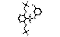 O=S(=O)(Nc1cccc(Cl)c1)c1c(OCC(F)(F)F)ncnc1OCC(F)(F)F